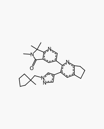 CN1C(=O)c2cc(-c3nc4c(cc3-c3cnn(CC5(C)CCCC5)c3)CCC4)cnc2C1(C)C